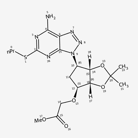 CCCSc1nc(N)c2nnn([C@@H]3C[C@H](OCC(=O)OC)[C@H]4OC(C)(C)O[C@H]43)c2n1